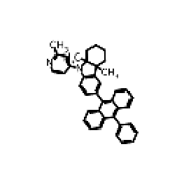 Cc1cc(N2c3ccc(-c4c5ccccc5c(-c5ccccc5)c5ccccc45)cc3C3(C)CCCCC23C)ccn1